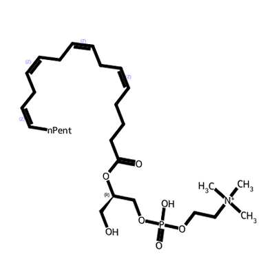 CCCCC/C=C\C/C=C\C/C=C\C/C=C\CCCC(=O)O[C@H](CO)COP(=O)(O)OCC[N+](C)(C)C